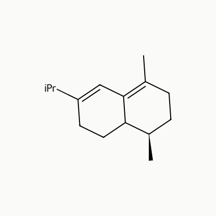 CC1=C2C=C(C(C)C)CCC2[C@H](C)CC1